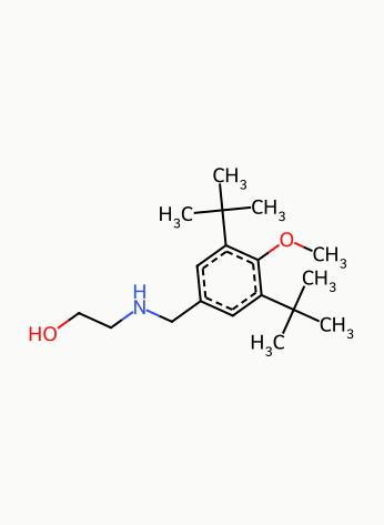 COc1c(C(C)(C)C)cc(CNCCO)cc1C(C)(C)C